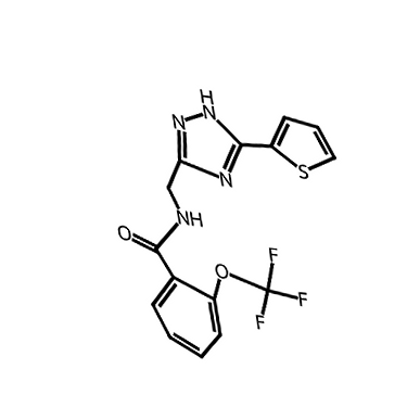 O=C(NCc1n[nH]c(-c2cccs2)n1)c1ccccc1OC(F)(F)F